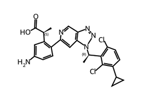 C[C@H](C(=O)O)c1cc(N)ccc1-c1cc2c(cn1)nnn2[C@H](C)c1c(Cl)ccc(C2CC2)c1Cl